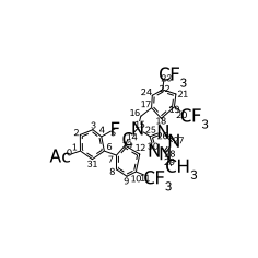 CC(=O)c1ccc(F)c(-c2ccc(C(F)(F)F)cc2CN(Cc2cc(C(F)(F)F)cc(C(F)(F)F)c2)c2nnn(C)n2)c1